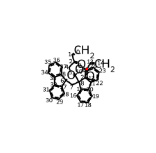 C=CC(=O)COC1(CC2(COC(=O)C=C)c3ccccc3-c3ccccc32)c2ccccc2-c2ccccc21